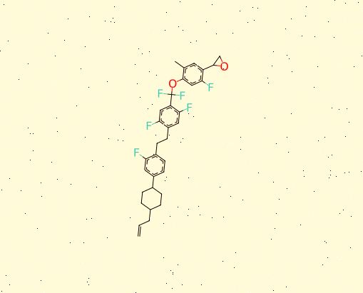 C=CCC1CCC(c2ccc(CCc3cc(F)c(C(F)(F)Oc4cc(F)c(C5CO5)cc4C)cc3F)c(F)c2)CC1